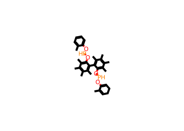 CC1=CCCC=C1OPOc1c(C)c(C)c(C)c(C)c1-c1c(C)c(C)c(C)c(C)c1OPOc1ccccc1C